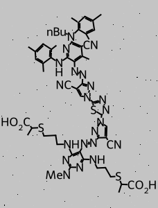 CCCCN(c1nc(Nc2c(C)cc(C)cc2C)c(N=Nc2nn(-c3nnc(-n4cc(C#N)c(N=Nc5c(NCCCSC(C)C(=O)O)nc(NC)nc5NCCCSC(C)C(=O)O)n4)s3)cc2C#N)c(C)c1C#N)c1c(C)cc(C)cc1C